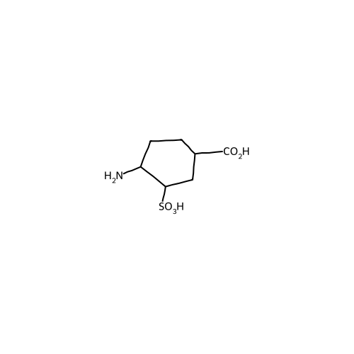 NC1CCC(C(=O)O)CC1S(=O)(=O)O